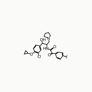 O=C(NC(CN1CCCC1)C(O)c1ccc(OC2CC2)c(Cl)c1)C(=O)c1ccc(F)cc1